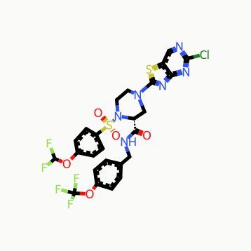 O=C(NCc1ccc(OC(F)(F)F)cc1)[C@H]1CN(c2nc3nc(Cl)ncc3s2)CCN1S(=O)(=O)c1ccc(OC(F)F)cc1